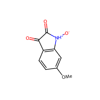 COc1ccc2c(c1)[NH+]([O-])C(=O)C2=O